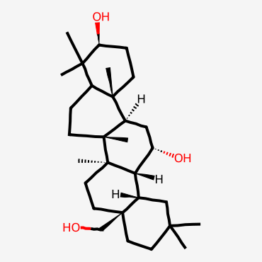 CC1(C)CC[C@]2(CO)CC[C@]3(C)[C@H]([C@@H](O)C[C@@H]4[C@@]5(C)CC[C@H](O)C(C)(C)C5CC[C@]43C)[C@@H]2C1